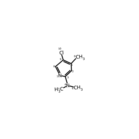 Cc1cc(N(C)C)ncc1Cl